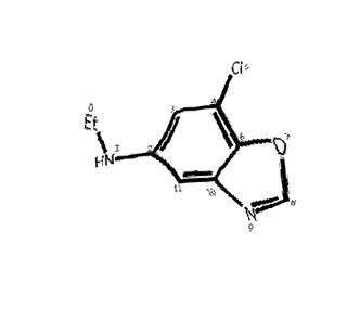 CCNc1cc(Cl)c2ocnc2c1